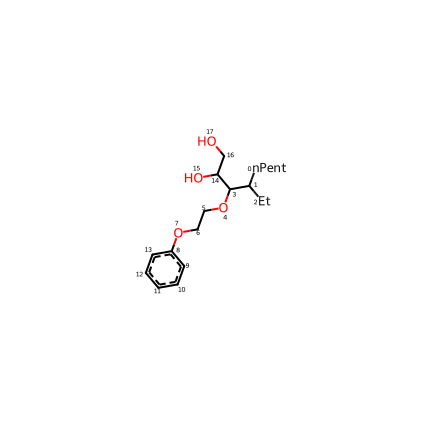 CCCCCC(CC)C(OCCOc1ccccc1)C(O)CO